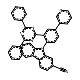 N#Cc1ccc2c3ccccc3n(-c3ccc(-c4cccnc4)cc3-c3nc(-c4ccccc4)nc(-c4ccccc4)n3)c2c1